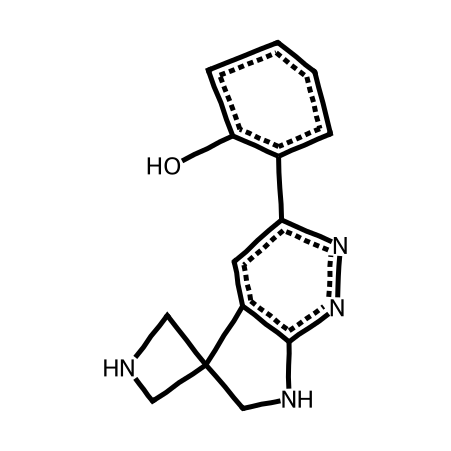 Oc1ccccc1-c1cc2c(nn1)NCC21CNC1